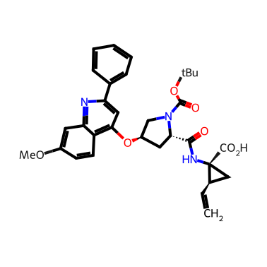 C=C[C@@H]1C[C@]1(NC(=O)[C@@H]1C[C@@H](Oc2cc(-c3ccccc3)nc3cc(OC)ccc23)CN1C(=O)OC(C)(C)C)C(=O)O